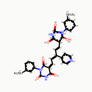 CC(=O)Nc1cccc(N2C(=O)NC(=O)C(=CC=C(C=Cc3c(O)n(-c4cccc(NC(C)=O)c4)c(=O)[nH]c3=O)c3ccncc3)C2=O)c1